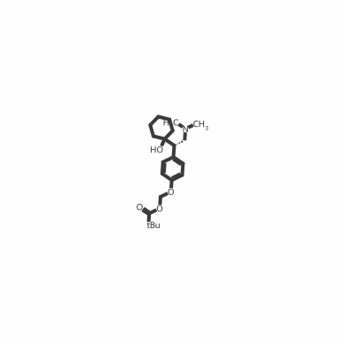 CN(C)C[C@H](c1ccc(OCOC(=O)C(C)(C)C)cc1)C1(O)CCCCC1